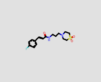 O=C(C=Cc1ccc(F)cc1)NCCCN1CCS(=O)(=O)CC1